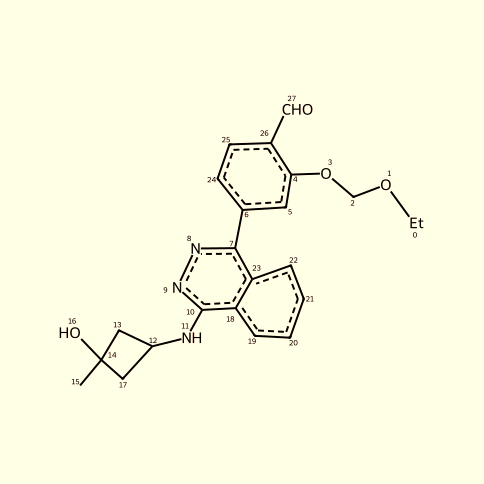 CCOCOc1cc(-c2nnc(NC3CC(C)(O)C3)c3ccccc23)ccc1C=O